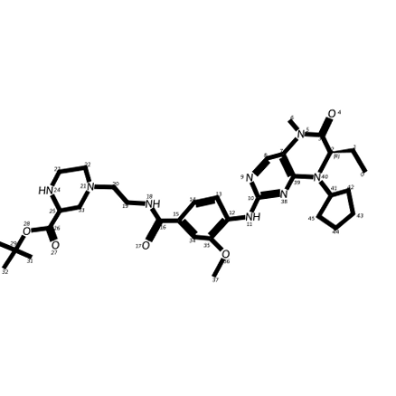 CC[C@@H]1C(=O)N(C)c2cnc(Nc3ccc(C(=O)NCCN4CCNC(C(=O)OC(C)(C)C)C4)cc3OC)nc2N1C1CCCC1